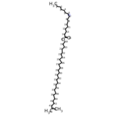 CCCCCC/C=C\CCCCCCCC(=O)OCCCCCCCCCCCCCCCCCCCCCCCCCCC(C)C